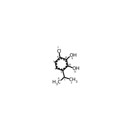 CC(C)c1ccc(Cl)c(O)c1O